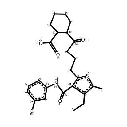 CCc1c(C)sc(CCCC(=O)C2CCCCC2C(=O)O)c1C(=O)Nc1cccc(Cl)c1